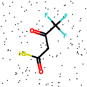 O=C(S)CC(=O)C(F)(F)F